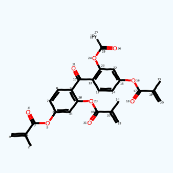 C=C(C)C(=O)Oc1ccc(C(=O)c2ccc(OC(=O)C(=C)C)cc2OC(=O)C(C)C)c(OC(=O)C(=C)C)c1